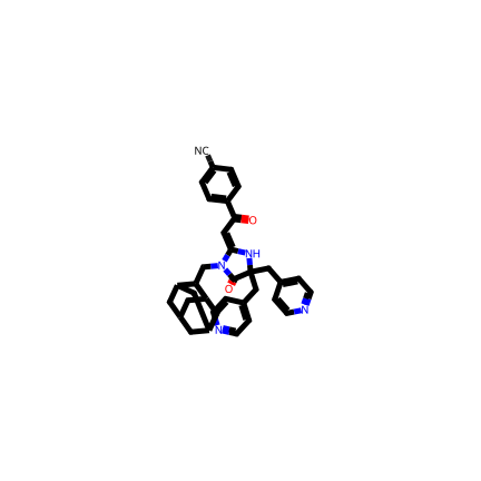 N#Cc1ccc(C(=O)C=C2NC(Cc3ccncc3)(Cc3ccncc3)C(=O)N2CC2C3CC4CC(C3)CC2C4)cc1